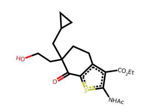 CCOC(=O)c1c(NC(C)=O)sc2c1CCC(CCO)(CC1CC1)C2=O